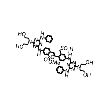 COS(=O)(=O)c1cc(Nc2nc(Nc3ccccc3)nc(N(CCO)CCO)n2)ccc1/C=C/c1ccc(Nc2nc(Nc3ccccc3)nc(N(CCO)CCO)n2)cc1CS(=O)(=O)O